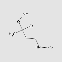 CCCNCCC(C)(CC)OCCC